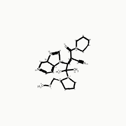 COC[C@@H]1CCCN1C(C)(C)C(=C(C#N)C(=O)N1CCCCC1)N1C=NC2CN=CC=C21